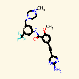 COc1ccc(C#Cc2cnc(N)nc2)cc1C(=O)Nc1cc(CN2CCN(C)CC2)cc(C(F)(F)F)c1